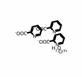 O.O=C([O-])c1ccccn1.O=C([O-])c1ccccn1.O=C([O-])c1ccccn1.[Cr+3]